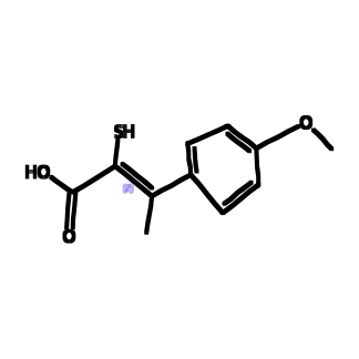 COc1ccc(/C(C)=C(\S)C(=O)O)cc1